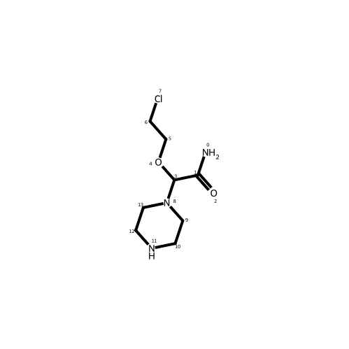 NC(=O)C(OCCCl)N1CCNCC1